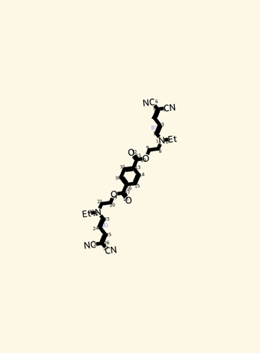 CCN(/C=C/C=C(C#N)C#N)CCOC(=O)c1ccc(C(=O)OCCN(/C=C/C=C(C#N)C#N)CC)cc1